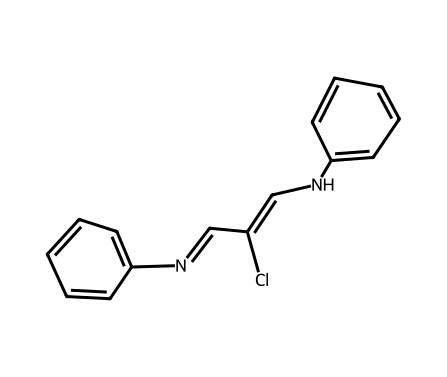 ClC(=C\Nc1ccccc1)/C=N/c1ccccc1